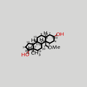 COC[C@]12CC[C@H](O)C[C@@H]1CC[C@H]1[C@@H]3CC[C@H](O)[C@@]3(C)CC[C@@H]12